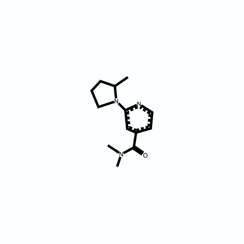 CC1CCCN1c1cc(C(=O)N(C)C)ccn1